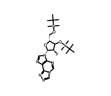 CC(C)(C)[Si](C)(C)OC[C@H]1O[C@@H](n2cnc3c2ncn2cnnc32)[C@H](F)C1O[Si](C)(C)C(C)(C)C